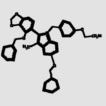 CCOC(=O)COc1ccc(Cn2c(-c3ccc4c(c3OCc3ccccc3)OCO4)c(C)c3cc(OCc4ccccc4)ccc32)cc1